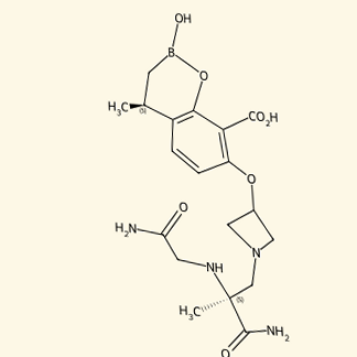 C[C@H]1CB(O)Oc2c1ccc(OC1CN(C[C@](C)(NCC(N)=O)C(N)=O)C1)c2C(=O)O